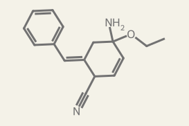 CCOC1(N)C=CC(C#N)C(=Cc2ccccc2)C1